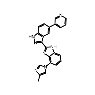 Cc1cn(-c2cccc3[nH]c(-c4n[nH]c5ccc(-c6cccnc6)cc45)nc23)cn1